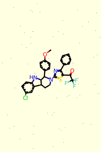 COc1ccc(C2C3Nc4ccc(Cl)cc4C3CCN2c2nc(-c3ccccc3)c(C(=O)C(F)(F)F)s2)cc1